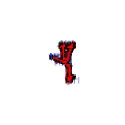 CC(=O)N[C@H]1[C@H]2OC[C@](COCCOCCOCCOCCn3cc(COCC(COCc4cn(CCOCCOCCOCCOC[C@@]56CO[C@@H](O5)[C@H](NC(C)=O)[C@H]5OC(C)(C)O[C@H]56)nn4)(COCc4cn(CCOCCOCCOCCOC[C@]56CO[C@H](C[C@H]7OC(C)(C)O[C@H]75)O6)nn4)NC(=O)CCCCCNC(=O)CCCCCN=[N+]=[N-])nn3)(O2)[C@@H]2OC(C)(C)O[C@H]12